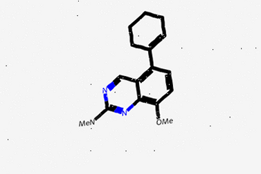 CNc1ncc2c(C3=CCCCC3)ccc(OC)c2n1